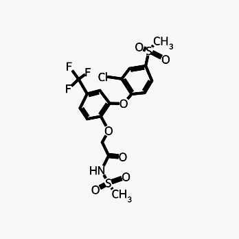 CS(=O)(=O)NC(=O)COc1ccc(C(F)(F)F)cc1Oc1ccc(S(C)(=O)=O)cc1Cl